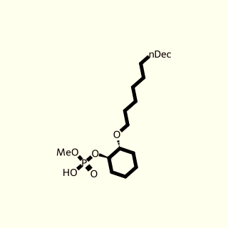 CCCCCCCCCCCCCCCCO[C@@H]1CCCC[C@H]1OP(=O)(O)OC